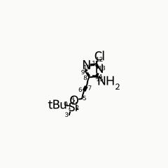 CC(C)(C)[Si](C)(C)OCC#Cc1cnc(Cl)nc1N